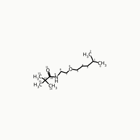 CC(C)CCCOCCNC(=O)C(C)(C)C